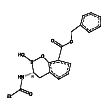 CCC(=O)N[C@H]1Cc2cccc(C(=O)OCc3ccccc3)c2OB1O